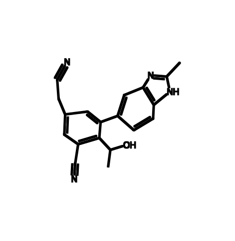 Cc1nc2cc(-c3cc(CC#N)cc(C#N)c3C(C)O)ccc2[nH]1